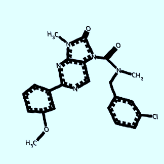 COc1cccc(-c2ncc3c(n2)n(C)c(=O)n3C(=O)N(C)Cc2cccc(Cl)c2)c1